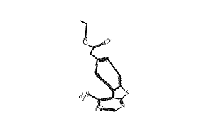 CCOC(=O)Cc1ccc2sc3ncnc(N)c3c2c1